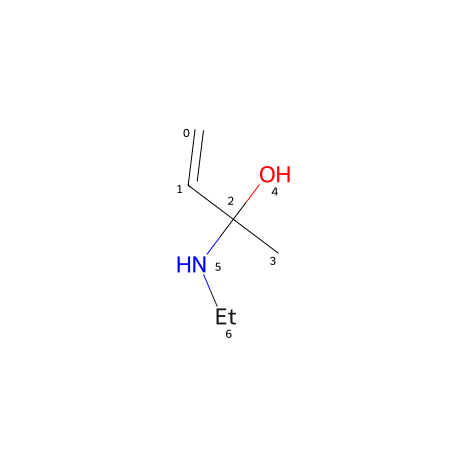 C=CC(C)(O)NCC